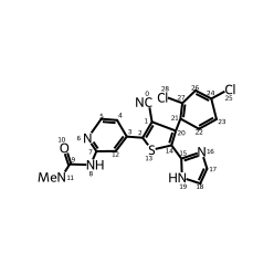 [C-]#[N+]c1c(-c2ccnc(NC(=O)NC)c2)sc(-c2ncc[nH]2)c1-c1ccc(Cl)cc1Cl